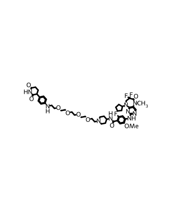 COc1cc(C(=O)NC2CCN(CCOCCOCCOCCOCCNc3ccc(C4CCC(=O)NC4=O)cc3)CC2)c(F)cc1Nc1ncc2c(n1)N(C1CCCC1)CC(F)(F)C(=O)N2C